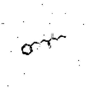 CCCNC(=O)CNCc1ccccc1